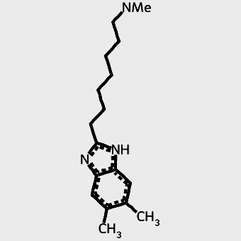 CNCCCCCCCc1nc2cc(C)c(C)cc2[nH]1